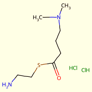 CN(C)CCCC(=O)SCCN.Cl.Cl